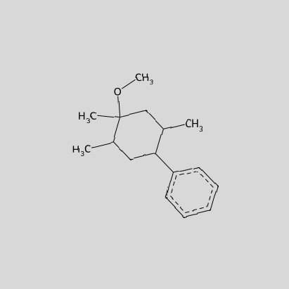 COC1(C)CC(C)C(c2ccccc2)CC1C